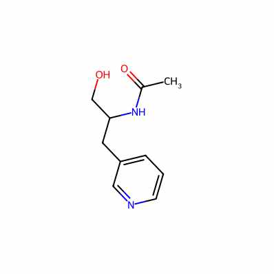 CC(=O)NC(CO)Cc1cccnc1